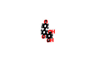 O=C1C=CC(=C2C=CC(=O)C(c3cc(O)ccc3O)=C2)C=C1